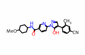 COC1CCC(NC(=O)c2ccc(-n3ncc(-c4ccc(C#N)cc4C)c3O)nc2)CC1